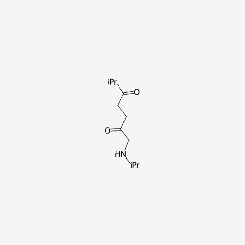 CC(C)NCC(=O)CCC(=O)C(C)C